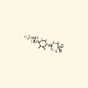 CNNc1ccc(N2CCS(=O)(=O)CC2)cc1